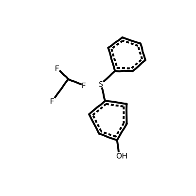 FC(F)F.Oc1ccc(Sc2ccccc2)cc1